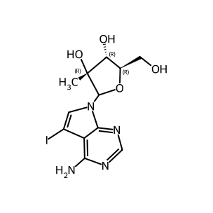 C[C@]1(O)C(n2cc(I)c3c(N)ncnc32)O[C@H](CO)[C@H]1O